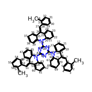 Cc1ccccc1C=C1c2ccccc2N(c2nc(N3c4ccccc4C(=Cc4ccccc4C)c4ccccc43)nc(N3c4ccccc4C(=Cc4ccccc4C)c4ccccc43)n2)c2ccccc21